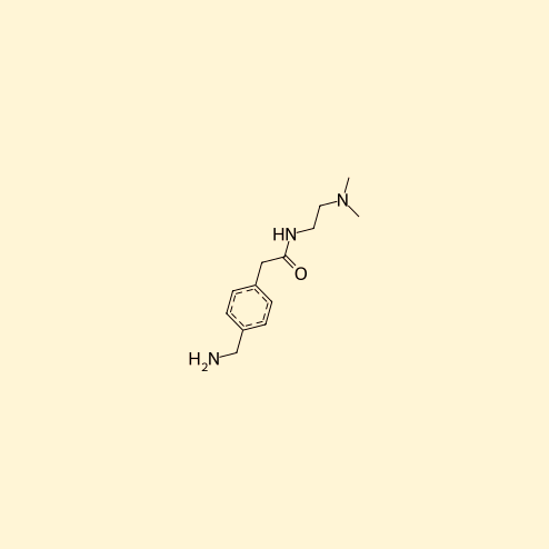 CN(C)CCNC(=O)Cc1ccc(CN)cc1